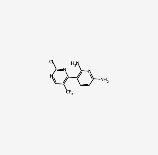 Nc1ccc(-c2nc(Cl)ncc2C(F)(F)F)c(N)n1